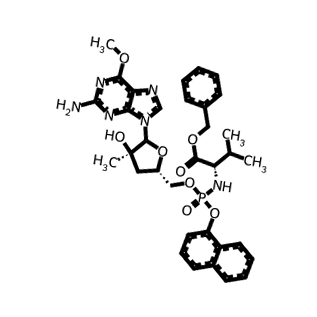 COc1nc(N)nc2c1ncn2C1O[C@H](COP(=O)(N[C@H](C(=O)OCc2ccccc2)C(C)C)Oc2cccc3ccccc23)C[C@@]1(C)O